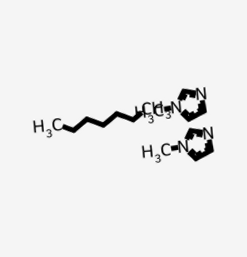 CCCCCCC.Cn1ccnc1.Cn1ccnc1